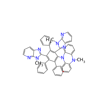 CN1c2ccccc2N(c2c(-c3ccccc3)c(-c3ccccc3)c(-c3nc4cccnc4n3C)c(-c3ccccc3)c2-c2nc3cccnc3n2C)c2ccccc21